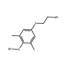 Cc1cc(SCCC(C)C)cc(C)c1SC(C)C